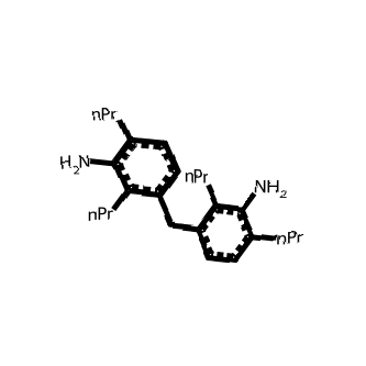 CCCc1ccc(Cc2ccc(CCC)c(N)c2CCC)c(CCC)c1N